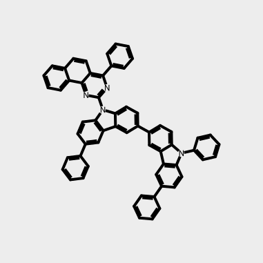 c1ccc(-c2ccc3c(c2)c2cc(-c4ccc5c(c4)c4cc(-c6ccccc6)ccc4n5-c4nc(-c5ccccc5)c5ccc6ccccc6c5n4)ccc2n3-c2ccccc2)cc1